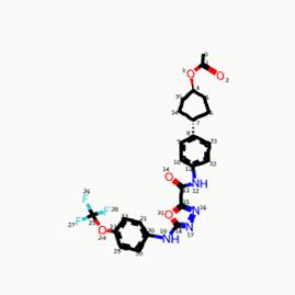 CC(=O)O[C@H]1CC[C@H](c2ccc(NC(=O)c3nnc(Nc4ccc(OC(F)(F)F)cc4)o3)cc2)CC1